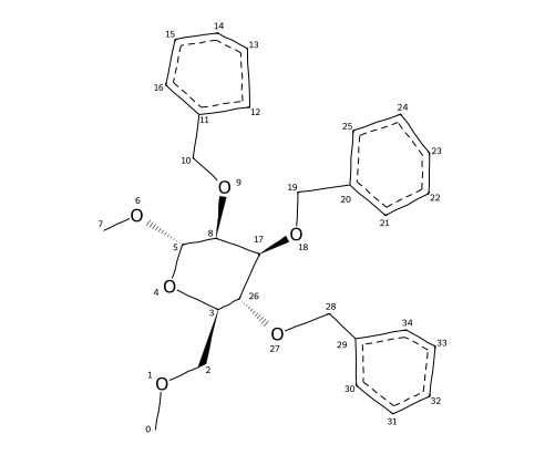 COC[C@H]1O[C@H](OC)[C@@H](OCc2ccccc2)[C@@H](OCc2ccccc2)[C@@H]1OCc1ccccc1